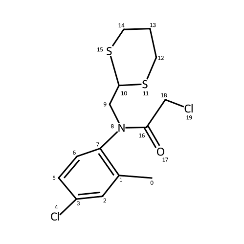 Cc1cc(Cl)ccc1N(CC1SCCCS1)C(=O)CCl